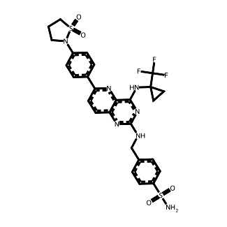 NS(=O)(=O)c1ccc(CNc2nc(NC3(C(F)(F)F)CC3)c3nc(-c4ccc(N5CCCS5(=O)=O)cc4)ccc3n2)cc1